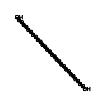 OCCOCCOCCOCCOCCOCCOCCOCCOCCOCCOCCOCCOCCOCCOCCOCCOCCOCCOCCOCCOCCOCCOCCOCCOCCOCCOCCOCCOCCO